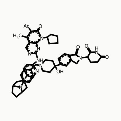 CC(=O)c1c(C)c2cnc(Nc3ccc(N4CC5CCC(C4)N5c4ccc(CN5CCC(O)(c6ccc7c(c6)CN(C6CCC(=O)NC6=O)C7=O)CC5)cc4)cn3)nc2n(C2CCCC2)c1=O